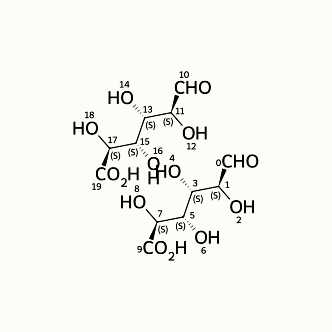 O=C[C@@H](O)[C@@H](O)[C@H](O)[C@H](O)C(=O)O.O=C[C@@H](O)[C@@H](O)[C@H](O)[C@H](O)C(=O)O